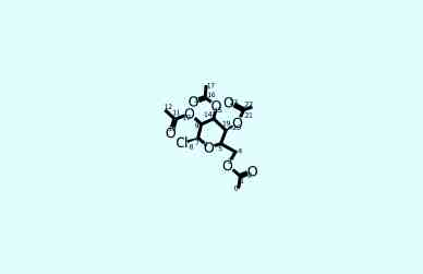 CC(=O)OCC1O[C@@H](Cl)C(OC(C)=O)C(OC(C)=O)[C@H]1OC(C)=O